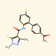 CC(=O)c1ccc(-c2cc(F)ccc2NC(=O)c2c(C)nn(C)c2F)cc1